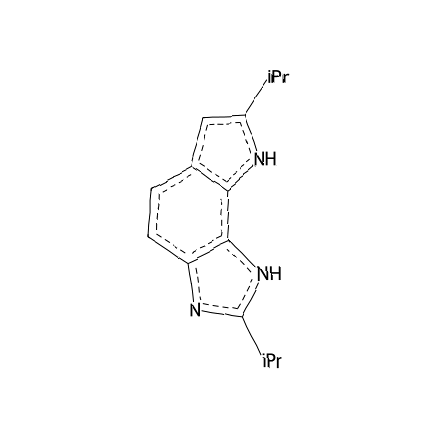 CC(C)c1cc2ccc3nc(C(C)C)[nH]c3c2[nH]1